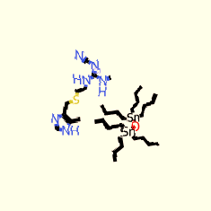 CCC[CH2][Sn]([CH2]CCC)([CH2]CCC)[O][Sn]([CH2]CCC)([CH2]CCC)[CH2]CCC.CN/C(=N/C#N)NCCSCc1nc[nH]c1C